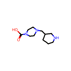 O=C(O)N1CCN(CC2CCCNC2)CC1